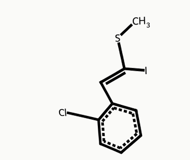 CSC(I)=Cc1ccccc1Cl